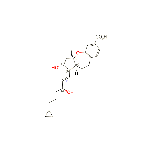 O=C(O)c1ccc2c(c1)O[C@H]1C[C@@H](O)[C@H](/C=C/[C@@H](O)CCCC3CC3)[C@H]1CC2